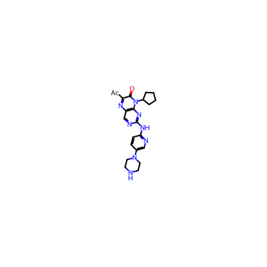 CC(=O)c1nc2cnc(Nc3ccc(N4CCNCC4)cn3)nc2n(C2CCCC2)c1=O